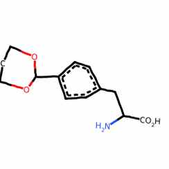 NC(Cc1ccc(C2OCCCO2)cc1)C(=O)O